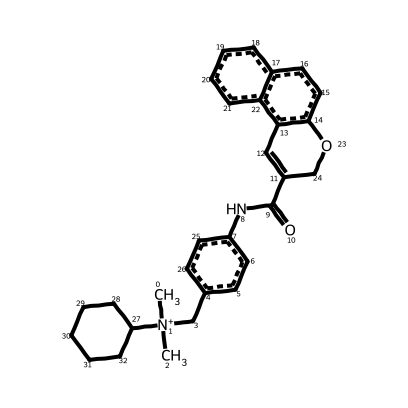 C[N+](C)(Cc1ccc(NC(=O)C2=Cc3c(ccc4ccccc34)OC2)cc1)C1CCCCC1